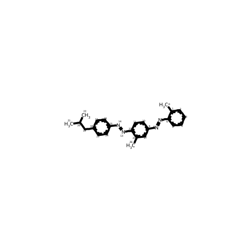 Cc1ccccc1N=Nc1ccc(N=Nc2ccc(CC(C)C)cc2)c(C)c1